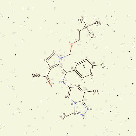 COC(=O)c1ccn(COCC[Si](C)(C)C)c1C(Nc1cc(C)c2nnc(C)n2c1)c1ccc(Cl)cc1